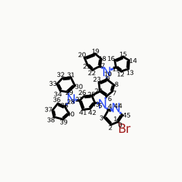 Brc1ccc(-n2c3ccc(N(c4ccccc4)c4ccccc4)cc3c3cc(N(c4ccccc4)c4ccccc4)ccc32)nc1